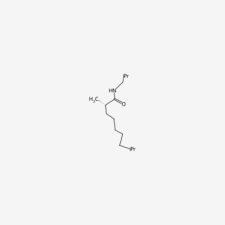 CC(C)CCCCC[C@H](C)C(=O)NCC(C)C